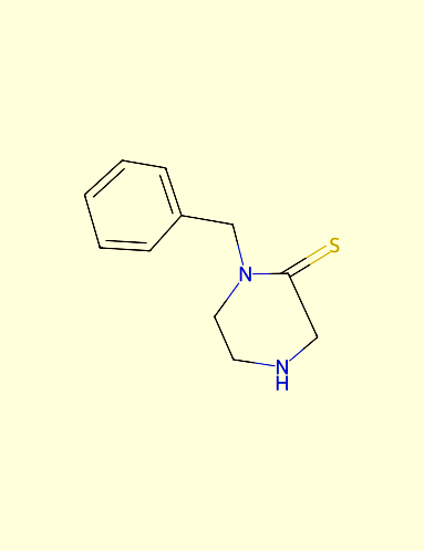 S=C1CNCCN1Cc1ccccc1